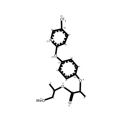 COCC(C)OC(=O)C(C)Oc1ccc(Oc2ccc(C(F)(F)F)cn2)cc1